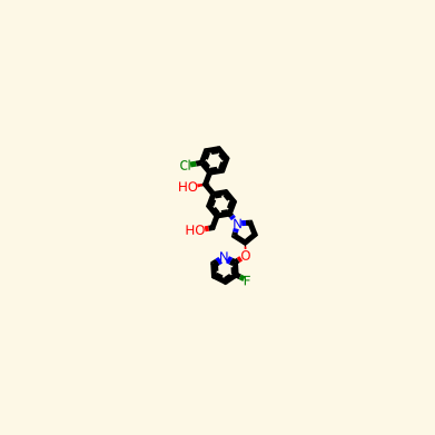 OCc1cc([C@@H](O)c2ccccc2Cl)ccc1N1CC[C@H](Oc2ncccc2F)C1